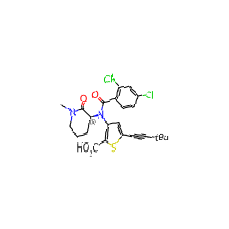 CN1CCC[C@H](N(C(=O)c2ccc(Cl)cc2Cl)c2cc(C#CC(C)(C)C)sc2C(=O)O)C1=O